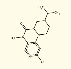 CC(C)N1CCN2c3nc(Cl)ncc3N(C)C(=O)C2C1